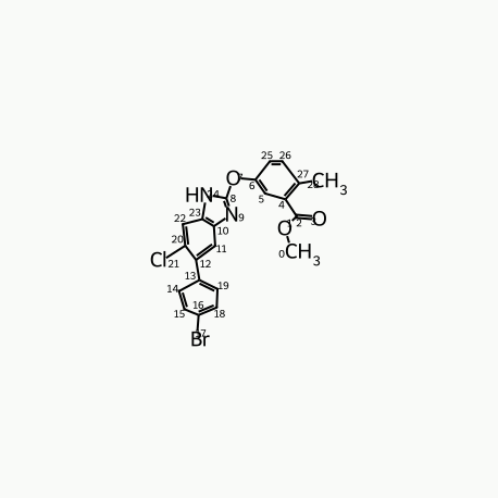 COC(=O)c1cc(Oc2nc3cc(-c4ccc(Br)cc4)c(Cl)cc3[nH]2)ccc1C